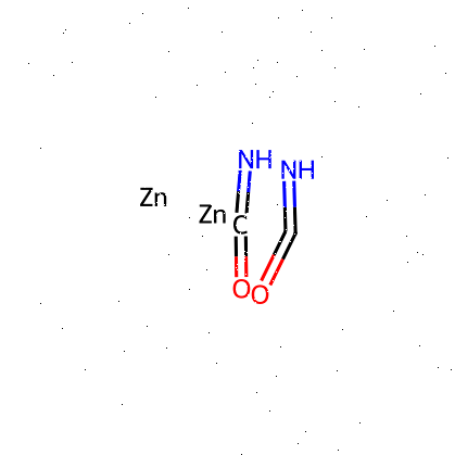 N=C=O.N=C=O.[Zn].[Zn]